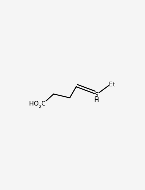 CC[SH]=CCCC(=O)O